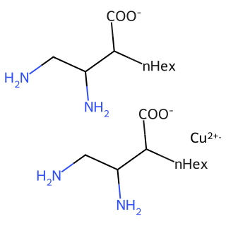 CCCCCCC(C(=O)[O-])C(N)CN.CCCCCCC(C(=O)[O-])C(N)CN.[Cu+2]